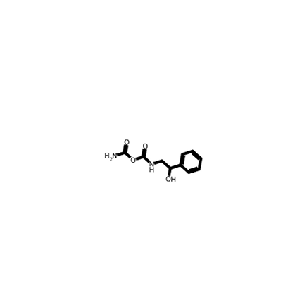 NC(=O)OC(=O)NCC(O)c1ccccc1